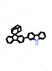 c1ccc2c(c1)-c1ccc(-c3ccc4c(c3)[nH]c3ccccc34)cc1C21C2CC3CC(C2)CC1C3